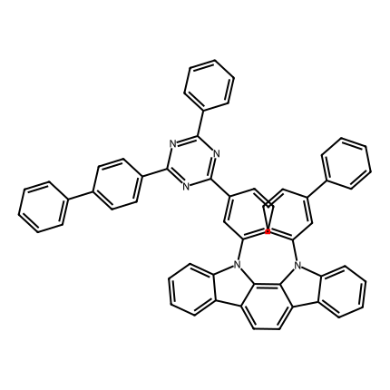 c1ccc(-c2ccc(-c3nc(-c4ccccc4)nc(-c4cccc(-n5c6ccccc6c6ccc7c8ccccc8n(-c8cccc(-c9ccccc9)c8)c7c65)c4)n3)cc2)cc1